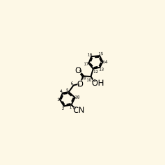 N#Cc1cccc(COC(=O)C(O)c2ccccc2)c1